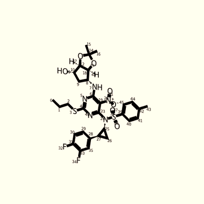 CCCSc1nc(N[C@@H]2C[C@H](O)[C@H]3OC(C)(C)O[C@H]32)c([N+](=O)[O-])c(N([C@@H]2C[C@H]2c2ccc(F)c(F)c2)S(=O)(=O)c2ccc(C)cc2)n1